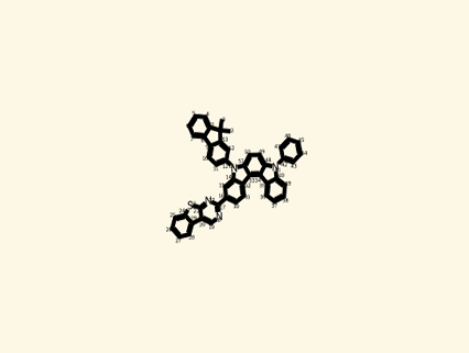 CC1(C)c2ccccc2-c2ccc(-n3c4cc(-c5ncc6c(n5)sc5ccccc56)ccc4c4c5c6ccccc6n(-c6ccccc6)c5ccc43)cc21